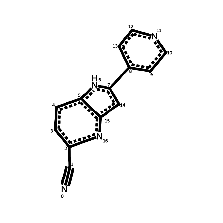 N#Cc1ccc2[nH]c(-c3ccncc3)cc2n1